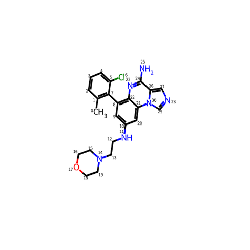 Cc1cccc(Cl)c1-c1cc(NCCN2CCOCC2)cc2c1nc(N)c1cncn12